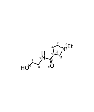 CCN1CC[C@H](C(=O)NCCO)C1